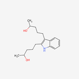 CC(O)CCCc1[nH]c2ccccc2c1CCCC(C)O